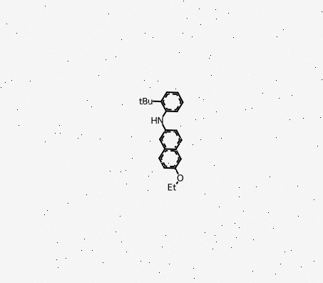 CCOc1ccc2cc(Nc3ccccc3C(C)(C)C)ccc2c1